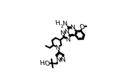 CCC1CCC(c2nc3c4cccc(OC)c4nc(N)n3n2)CN1c1cnn(CC(C)(C)O)c1